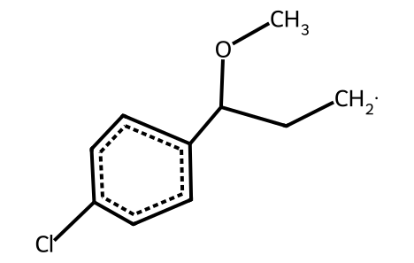 [CH2]CC(OC)c1ccc(Cl)cc1